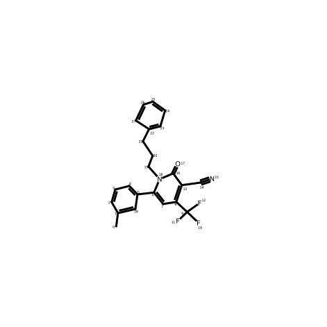 Cc1cccc(-c2cc(C(F)(F)F)c(C#N)c(=O)n2CCCc2ccccc2)c1